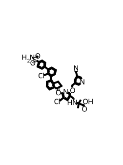 CC(C)(NCc1cc(Cl)c(O[C@H]2CCc3c(-c4cccc(-c5ccc(S(N)(=O)=O)cc5)c4Cl)cccc32)nc1OCc1cncc(C#N)c1)C(=O)O